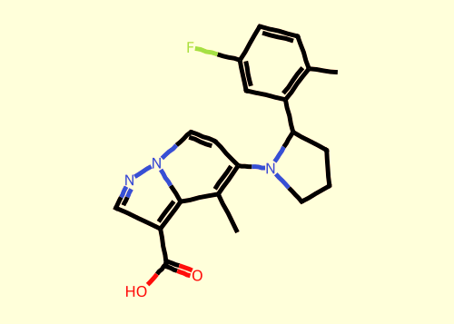 Cc1ccc(F)cc1C1CCCN1c1ccn2ncc(C(=O)O)c2c1C